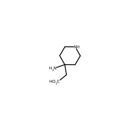 NC1(CC(=O)O)CCNCC1